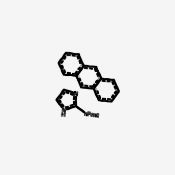 CCCCCc1ncc[nH]1.c1ccc2cc3ccccc3cc2c1